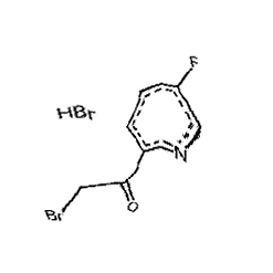 Br.O=C(CBr)c1ccc(F)cn1